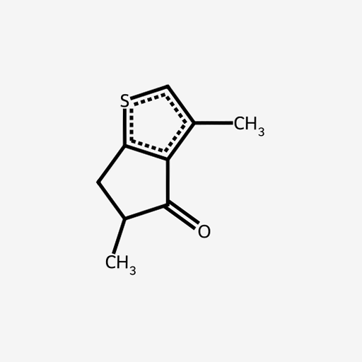 Cc1csc2c1C(=O)C(C)C2